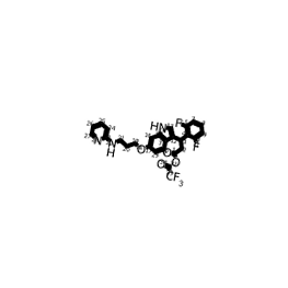 O=C(CC(c1c(F)cccc1F)c1c[nH]c2cc(OCCCNc3ccccn3)ccc12)OC(=O)C(F)(F)F